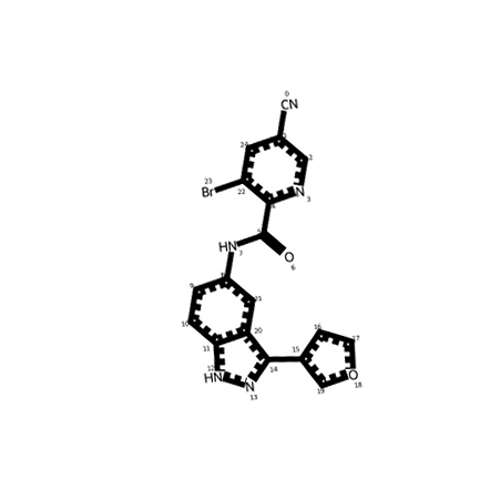 N#Cc1cnc(C(=O)Nc2ccc3[nH]nc(-c4ccoc4)c3c2)c(Br)c1